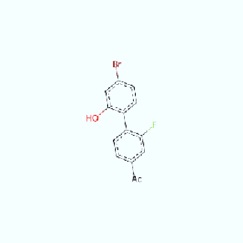 CC(=O)c1ccc(-c2ccc(Br)cc2O)c(F)c1